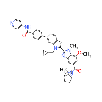 COc1cc(C(=O)N2CC3CCC2[C@@H]3C)cc2nc(-c3cc4ccc(-c5ccc(C(=O)Nc6ccncc6)cc5)cc4n3CC3CC3)n(C)c12